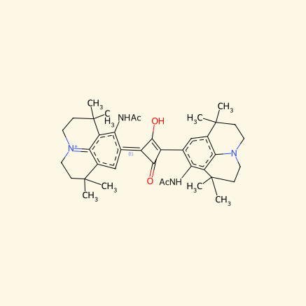 CC(=O)Nc1c(C2=C(O)/C(=c3/cc4c5c(c3NC(C)=O)C(C)(C)CC[N+]=5CCC4(C)C)C2=O)cc2c3c1C(C)(C)CCN3CCC2(C)C